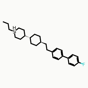 CCC[SiH]1CCC([C@H]2CC[C@H](CCc3ccc(-c4ccc(F)cc4)cc3)CC2)CC1